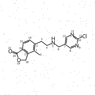 Cc1c(CCNCc2cnc(Cl)nc2)ccc2c1COC2=O